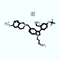 COc1ccc2c(c1)CCN(Cc1ccc3c(c1)c(-c1ccc(OC(F)(F)F)cc1CN)cn3CCCN)C2.Cl.Cl